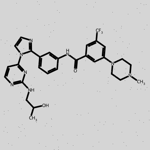 CC(O)CNc1nccc(-n2ccnc2-c2cccc(NC(=O)c3cc(N4CCN(C)CC4)cc(C(F)(F)F)c3)c2)n1